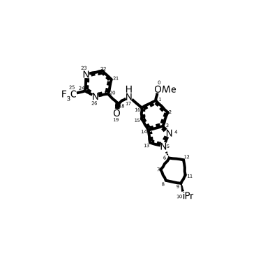 COc1cc2nn([C@H]3CC[C@H](C(C)C)CC3)cc2cc1NC(=O)c1ccnc(C(F)(F)F)n1